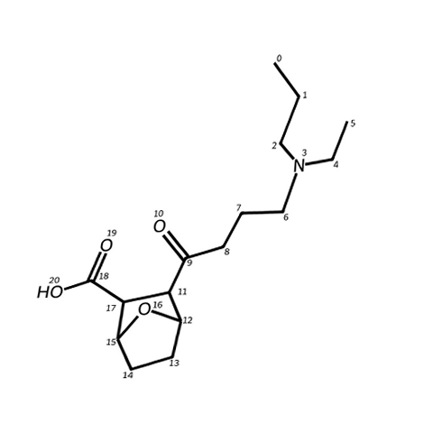 CCCN(CC)CCCC(=O)C1C2CCC(O2)C1C(=O)O